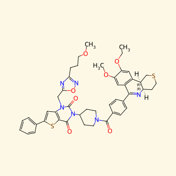 CCOc1cc2c(cc1OC)C(c1ccc(C(=O)N3CCC(n4c(=O)c5sc(-c6ccccc6)cc5n(Cc5nc(CCCOC)no5)c4=O)CC3)cc1)=N[C@@H]1CCSC[C@H]21